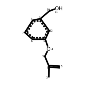 C=C(C)COc1cccc(CO)c1